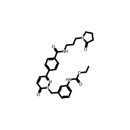 CCOC(=O)Nc1cccc(Cn2nc(-c3ccc(C(=O)NCCCN4CCCC4=O)cc3)ccc2=O)c1